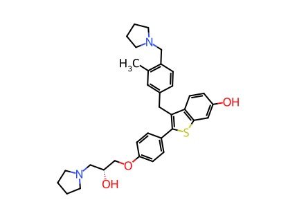 Cc1cc(Cc2c(-c3ccc(OC[C@H](O)CN4CCCC4)cc3)sc3cc(O)ccc23)ccc1CN1CCCC1